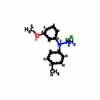 COc1cccc(N(N)c2ccc(C)cc2)c1.Cl